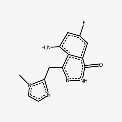 Cn1ccnc1Cc1n[nH]c(=O)c2cc(F)cc(N)c12